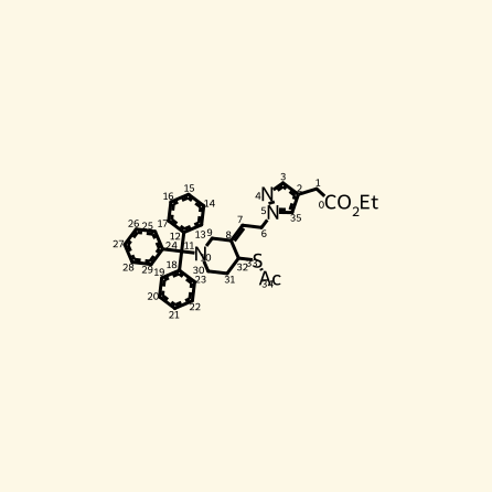 CCOC(=O)Cc1cnn(CC=C2CN(C(c3ccccc3)(c3ccccc3)c3ccccc3)CCC2SC(C)=O)c1